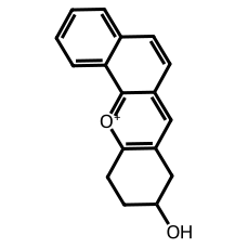 OC1CCc2[o+]c3c(ccc4ccccc43)cc2C1